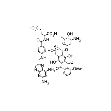 COc1cccc2c1C(=O)c1c(O)c3c(c(O)c1C2=O)C[C@@](O)(C(C)=O)C[C@@H]3O[C@H]1C[C@H](N)[C@H](O)[C@H](C)O1.Nc1nc(N)c2nc(CNc3ccc(C(=O)NC(CCC(=O)O)C(=O)O)cc3)cnc2n1